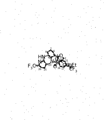 CCOC(=O)c1coc(-c2cccc3c2N(S(=O)(=O)c2ccc(OC(F)(F)F)cc2)Cc2ccc(C(F)(F)F)nc2N3)n1